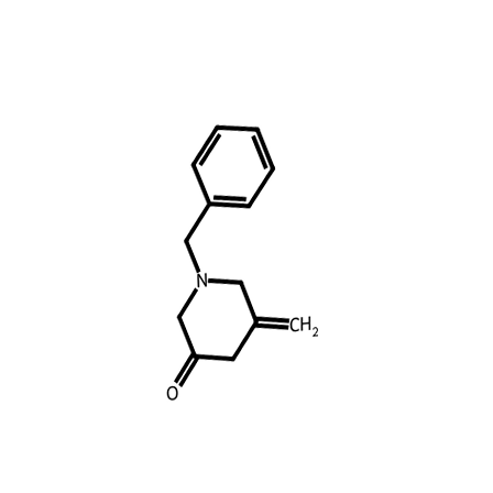 C=C1CC(=O)CN(Cc2ccccc2)C1